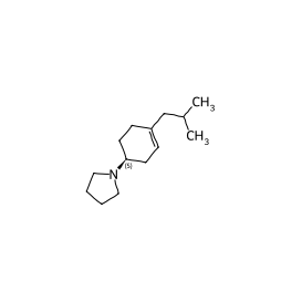 CC(C)CC1=CC[C@@H](N2CCCC2)CC1